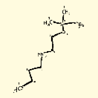 CC(C)(C)[Si](C)(C)OCCNCCCO